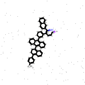 Cc1ccc(C2=c3ccccc3=C(C3=c4ccccc4=C(C4=CC(C(/C=C\CI)=C(/N)c5ccc6ccccc6c5)=CCC4)C4C=CC=CC34)CC2)cc1